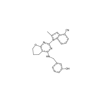 Cc1cc2c(C#N)cccc2n1-c1nc(NCc2cccc(O)c2)c2c(n1)OCCC2